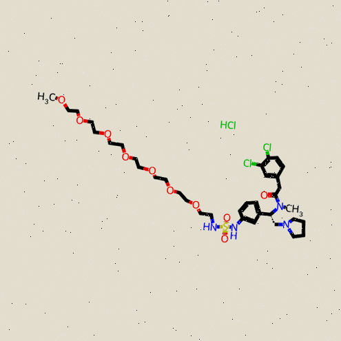 COCCOCCOCCOCCOCCOCCOCCNS(=O)(=O)Nc1cccc([C@@H](CN2CCCC2)N(C)C(=O)Cc2ccc(Cl)c(Cl)c2)c1.Cl